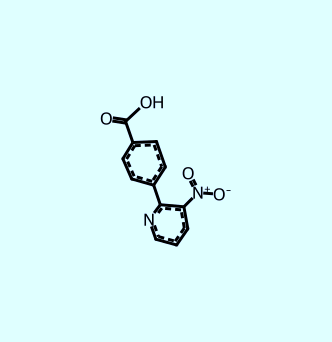 O=C(O)c1ccc(-c2ncccc2[N+](=O)[O-])cc1